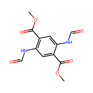 COC(=O)c1cc(NC=O)c(C(=O)OC)cc1NC=O